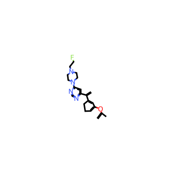 C=C(C)OC1=CCCC(C(=C)c2cc(N3CCN(CCF)CC3)ncn2)=C1